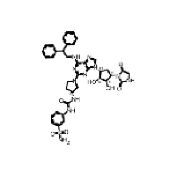 NS(=O)(=O)c1cccc(NC(=O)N[C@@H]2CCN(c3nc(NCC(c4ccccc4)c4ccccc4)c4ncn([C@@H]5C[C@H](N6C(=O)CNC6=O)[C@@H](O)[C@H]5O)c4n3)C2)c1